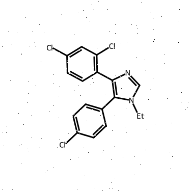 CCn1cnc(-c2ccc(Cl)cc2Cl)c1-c1ccc(Cl)cc1